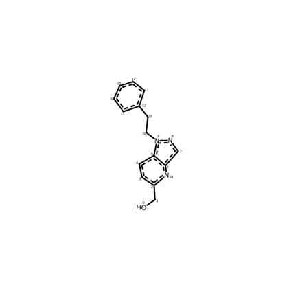 OCc1ccc2c(cnn2CCc2ccccc2)n1